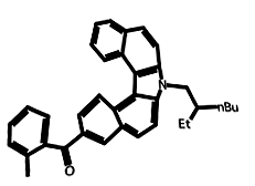 CCCCC(CC)Cn1c2ccc3ccccc3c2c2c3ccc(C(=O)c4ccccc4C)cc3ccc21